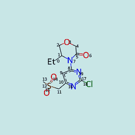 CCC1COCC(=O)N1c1cc(CS(C)(=O)=O)nc(Cl)n1